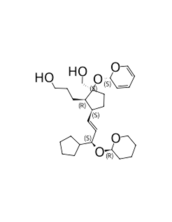 OCCC[C@@H]1[C@H](C=C[C@@H](O[C@@H]2CCCCO2)C2CCCC2)CC[C@]1(CO)O[C@H]1C=CC=CO1